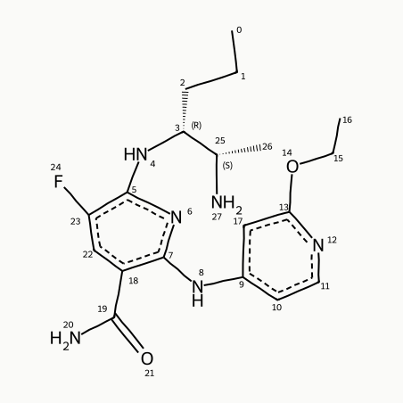 CCC[C@@H](Nc1nc(Nc2ccnc(OCC)c2)c(C(N)=O)cc1F)[C@H](C)N